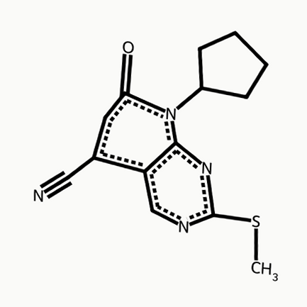 CSc1ncc2c(C#N)cc(=O)n(C3CCCC3)c2n1